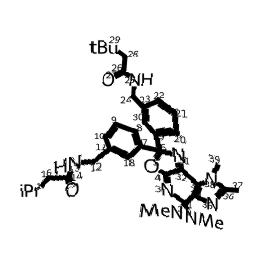 CNC1(NC)N=C2OC(c3cccc(CNC(=O)CC(C)C)c3)(c3cccc(CNC(=O)CC(C)(C)C)c3)N=C2c2c1nc(C)n2C